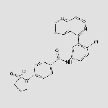 O=C(Nc1ccc(Cl)c(-c2nccc3ncccc23)c1)c1ccc(N2CCCS2(=O)=O)cc1